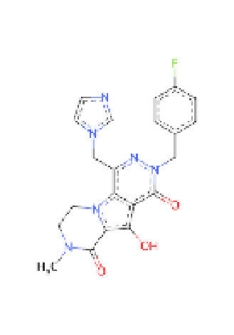 CN1CCn2c(c(O)c3c(=O)n(Cc4ccc(F)cc4)nc(Cn4ccnc4)c32)C1=O